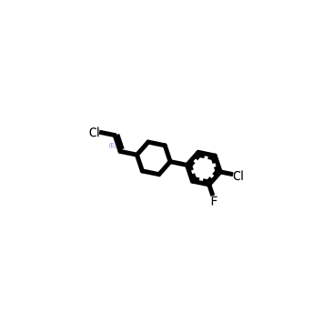 Fc1cc(C2CCC(/C=C/Cl)CC2)ccc1Cl